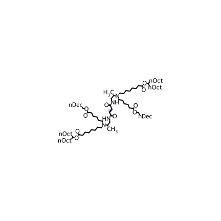 CCCCCCCCCCCOC(=O)CCCCCN(CCCCCCCC(=O)OC(CCCCCCCC)CCCCCCCC)C(C)CNC(=O)/C=C/C(=O)NCC(C)N(CCCCCCCC(=O)OC(CCCCCCCC)CCCCCCCC)CCCCCC(=O)OCCCCCCCCCCC